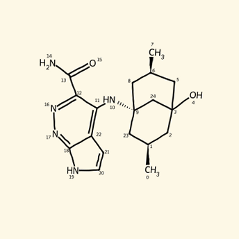 C[C@@H]1CC2(O)C[C@H](C)C[C@](Nc3c(C(N)=O)nnc4[nH]ccc34)(C1)C2